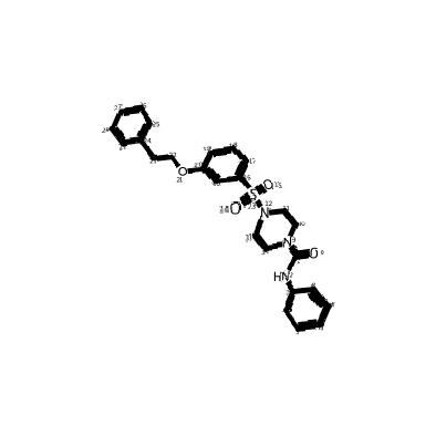 O=C(Nc1ccccc1)N1CCN(S(=O)(=O)c2cccc(OCCc3ccccc3)c2)CC1